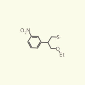 CCOCC(C[S])c1cccc([N+](=O)[O-])c1